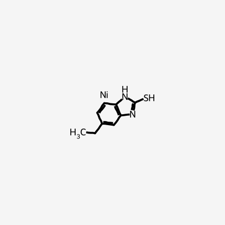 CCc1ccc2[nH]c(S)nc2c1.[Ni]